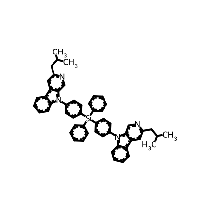 CC(C)Cc1cc2c3ccccc3n(-c3ccc([Si](c4ccccc4)(c4ccccc4)c4ccc(-n5c6ccccc6c6cc(CC(C)C)ncc65)cc4)cc3)c2cn1